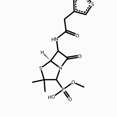 COP(=O)(O)C1N2C(=O)C(NC(=O)Cc3ccsc3)[C@@H]2SC1(C)C